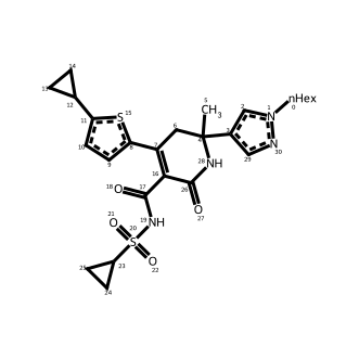 CCCCCCn1cc(C2(C)CC(c3ccc(C4CC4)s3)=C(C(=O)NS(=O)(=O)C3CC3)C(=O)N2)cn1